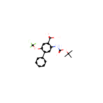 CC(C)(C)OC(=O)Nc1cc(-c2ccccc2)c(OC(F)(F)F)cc1C(=O)O